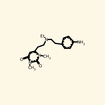 CCN(CCc1ccc(N)cc1)CCc1cc(=O)n(C)c(=O)n1C